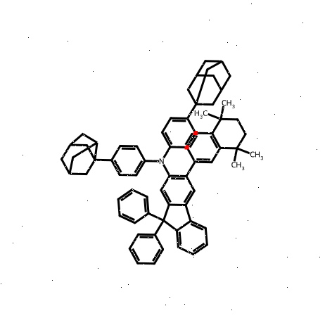 CC1(C)CCC(C)(C)c2cc(-c3cc4c(cc3N(c3ccc(C56CC7CC(CC(C7)C5)C6)cc3)c3ccc(C56CC7CC(CC5C7)C6)cc3)C(c3ccccc3)(c3ccccc3)c3ccccc3-4)ccc21